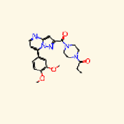 CCC(=O)N1CCN(C(=O)c2cc3nccc(-c4ccc(OC)c(OC)c4)n3n2)CC1